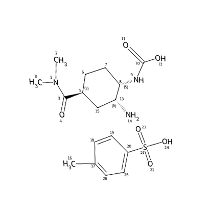 CN(C)C(=O)[C@H]1CC[C@H](NC(=O)O)[C@H](N)C1.Cc1ccc(S(=O)(=O)O)cc1